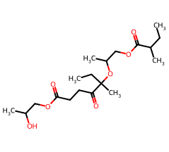 CCC(C)C(=O)OCC(C)OC(C)(CC)C(=O)CCC(=O)OCC(C)O